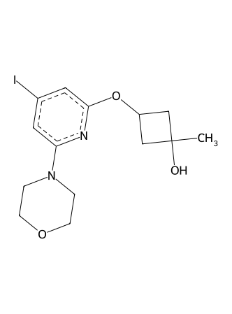 CC1(O)CC(Oc2cc(I)cc(N3CCOCC3)n2)C1